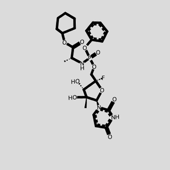 C[C@@H](NP(=O)(OC[C@@]1(F)O[C@@H](n2ccc(=O)[nH]c2=O)[C@](C)(O)[C@@H]1O)Oc1ccccc1)C(=O)OC1CCCCC1